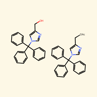 CC(=O)OCc1cn(C(c2ccccc2)(c2ccccc2)c2ccccc2)cn1.OCc1cn(C(c2ccccc2)(c2ccccc2)c2ccccc2)cn1